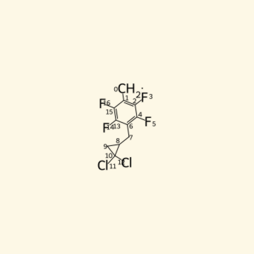 [CH2]c1c(F)c(F)c(CC2CC2(Cl)Cl)c(F)c1F